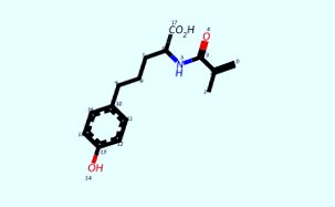 C=C(C)C(=O)NC(CCCc1ccc(O)cc1)C(=O)O